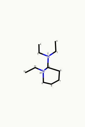 CCN(CC)C1CCCCN1CC